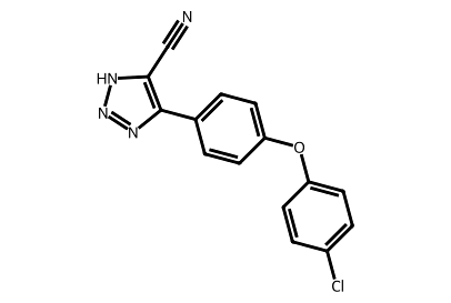 N#Cc1[nH]nnc1-c1ccc(Oc2ccc(Cl)cc2)cc1